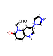 O=CCn1c(=O)ccc2ncc(-n3ccnc3)cc21